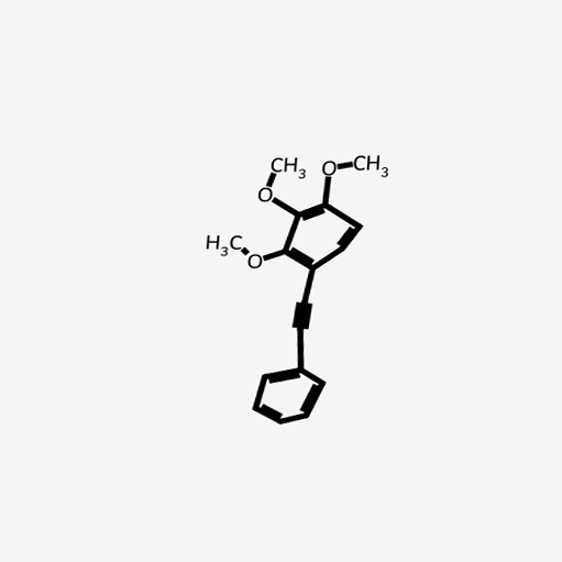 COc1ccc(C#Cc2ccccc2)c(OC)c1OC